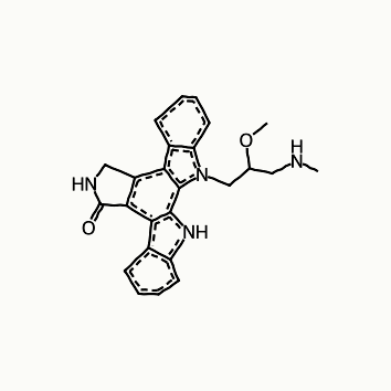 CNCC(Cn1c2ccccc2c2c3c(c4c5ccccc5[nH]c4c21)C(=O)NC3)OC